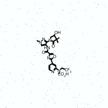 Cn1cc(NC(=O)c2coc(-c3ccnc(N(CC(F)(F)F)C(=O)O)c3)n2)c(N2CC(O)C(C)(C)C2=O)n1